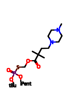 CCCC(C)OP(=O)(OC(C)(C)C)SCOC(=O)C(C)(C)CCN1CCN(C)CC1